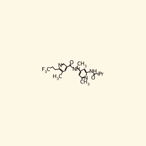 Cc1cc(C(C)NC(=O)c2cnc(CCC(F)(F)F)c(C)c2)cc(NC(=O)C(C)C)n1